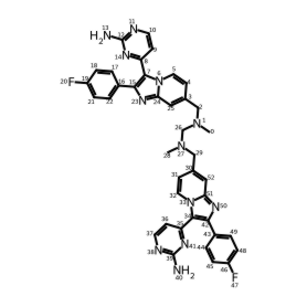 CN(Cc1ccn2c(-c3ccnc(N)n3)c(-c3ccc(F)cc3)nc2c1)CN(C)Cc1ccn2c(-c3ccnc(N)n3)c(-c3ccc(F)cc3)nc2c1